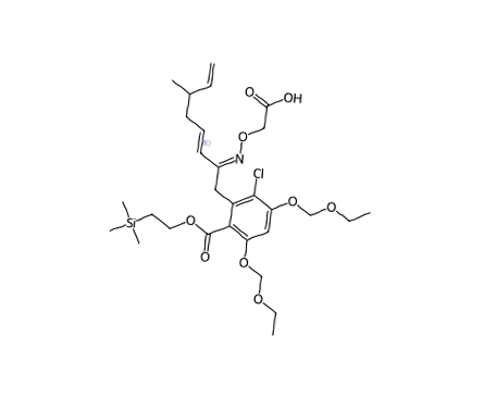 C=CC(C)C/C=C/C(Cc1c(Cl)c(OCOCC)cc(OCOCC)c1C(=O)OCC[Si](C)(C)C)=NOCC(=O)O